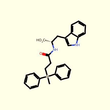 C[Si](CCC(=O)N[C@@H](Cc1c[nH]c2ccccc12)C(=O)O)(c1ccccc1)c1ccccc1